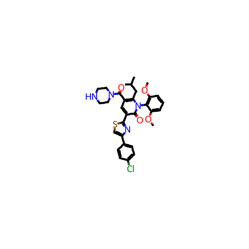 COc1cccc(OC)c1-n1c(CC(C)C)c(C(=O)N2CCNCC2)cc(-c2nc(-c3ccc(Cl)cc3)cs2)c1=O